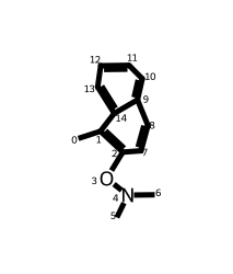 Cc1c(ON(C)C)ccc2ccccc12